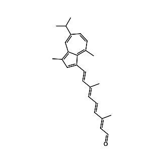 CC(/C=C/C=C(C)/C=C/c1cc(C)c2cc(C(C)C)ccc(C)c1-2)=C\C=O